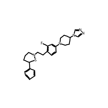 Fc1cc(N2CCC(n3cnnc3)CC2)ccc1CCN1CCCC(c2ccccc2)S1